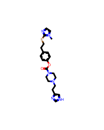 Cn1ccnc1SCCc1ccc(OC(=O)N2CCN(CCc3c[nH]cn3)CC2)cc1